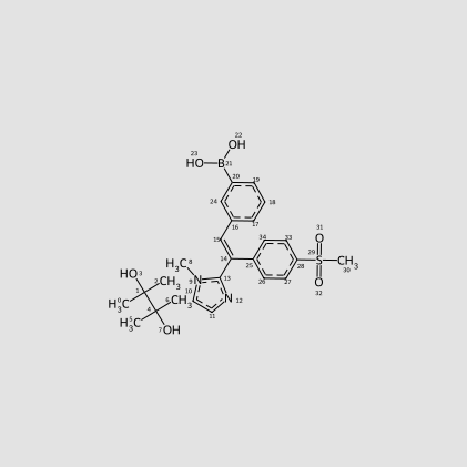 CC(C)(O)C(C)(C)O.Cn1ccnc1C(=Cc1cccc(B(O)O)c1)c1ccc(S(C)(=O)=O)cc1